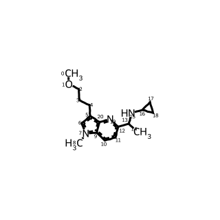 COCCCc1cn(C)c2ccc(C(C)NC3CC3)nc12